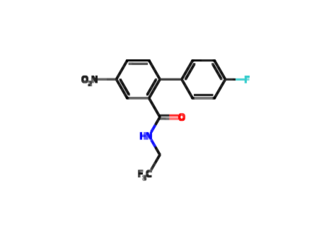 O=C(NCC(F)(F)F)c1cc([N+](=O)[O-])ccc1-c1ccc(F)cc1